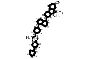 CC1(C)c2cc(C#N)ccc2-c2ccc(-c3cccc4c(-c5ccc(C(N)/N=c6/ccc(-c7ccccc7)c[nH]6)cc5)cccc34)cc21